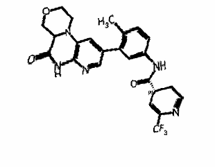 Cc1ccc(NC(=O)[C@H]2C=C(C(F)(F)F)N=CC2)cc1-c1cnc2c(c1)N1CCOCC1C(=O)N2